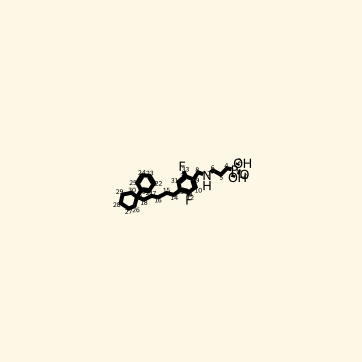 O=P(O)(O)CCCNCc1cc(F)c(CCCCCC2(c3ccccc3)CCCCC2)cc1F